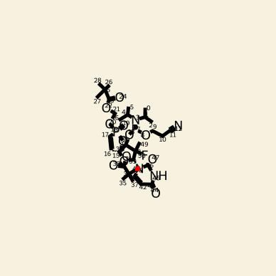 CC(C)N(C(C)C)P(OCCC#N)OC1[C@@H](/C=C\P(=O)(OCOC(=O)C(C)(C)C)OCOC(=O)C(C)(C)C)O[C@@H](n2ccc(=O)[nH]c2=O)C1(C)F